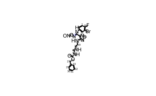 O=NO/N=C(\Nc1ccc(F)c(Br)c1)c1nonc1NCCNSNC(=O)OCc1ccccc1